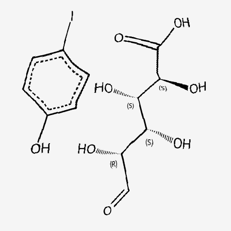 O=C[C@H](O)[C@@H](O)[C@H](O)[C@H](O)C(=O)O.Oc1ccc(I)cc1